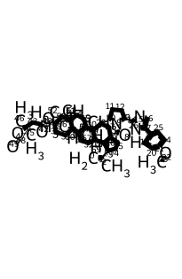 C=C(C)[C@@H]1CC[C@]2(C(=O)N3CCC[C@H]3c3ncc(-c4ccc(OC)cc4)[nH]3)CC[C@]3(C)[C@H](CC[C@@H]4[C@@]5(C)CC[C@H](OC(=O)CC(C)(C)OC=O)C(C)(C)[C@@H]5CC[C@]43C)[C@@H]12